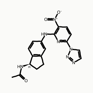 CC(=O)N[C@@H]1CCc2cc(Nc3nc(-n4ccnn4)ccc3[N+](=O)[O-])ccc21